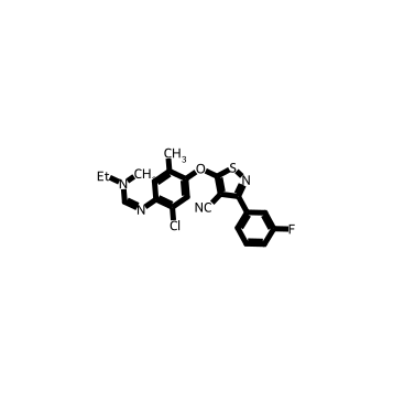 CCN(C)/C=N\c1cc(C)c(Oc2snc(-c3cccc(F)c3)c2C#N)cc1Cl